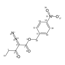 CCC(=O)C(=[N+]=[N-])C(=O)OCc1ccc([N+](=O)[O-])cc1